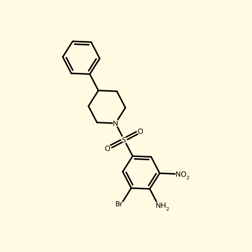 Nc1c(Br)cc(S(=O)(=O)N2CCC(c3ccccc3)CC2)cc1[N+](=O)[O-]